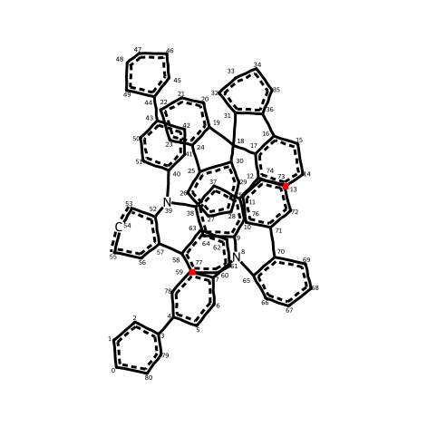 c1ccc(-c2ccc(N(c3cc(-c4cccc5c4C4(c6ccccc6-c6ccccc64)c4ccccc4-5)cc(N(c4ccc(-c5ccccc5)cc4)c4ccccc4-c4ccccc4)c3)c3ccccc3-c3ccccc3)cc2)cc1